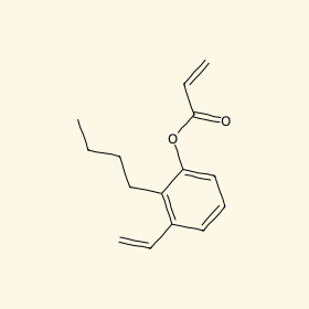 C=CC(=O)Oc1cccc(C=C)c1CCCC